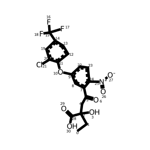 CCC(O)(CC(=O)c1cc(Oc2ccc(C(F)(F)F)cc2Cl)ccc1[N+](=O)[O-])C(=O)O